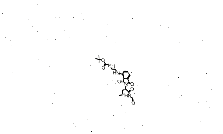 CCCC(C(=O)NC=O)N1C(=O)c2cccc(NCCNC(=O)OC(C)(C)C)c2C1=O